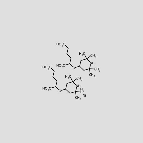 CC1(C)CC(OC(CCCC(=O)O)C(=O)O)CC(C)(C)N1.CC1(C)CC(OC(CCCC(=O)O)C(=O)O)CC(C)(C)N1.[Ni]